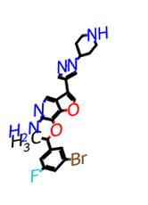 CC(Oc1c(N)ncc2c(-c3cnn(C4CCNCC4)c3)coc12)c1cc(F)cc(Br)c1